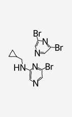 Brc1cncc(Br)n1.Brc1cncc(NCC2CC2)n1